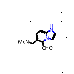 CNCC1=CC=C2NC=CN2C1C=O